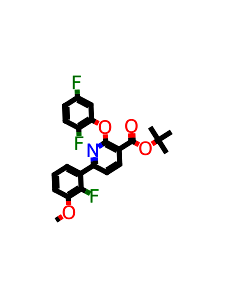 COc1cccc(-c2ccc(C(=O)OC(C)(C)C)c(Oc3cc(F)ccc3F)n2)c1F